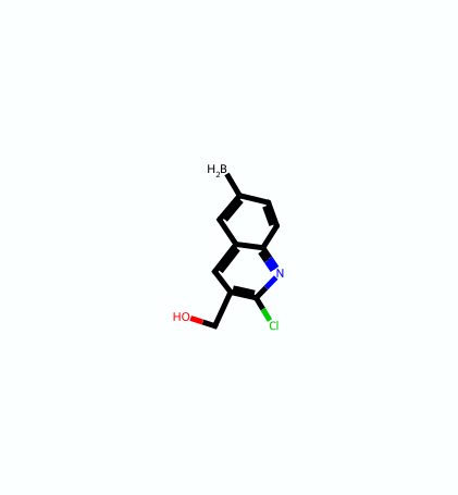 Bc1ccc2nc(Cl)c(CO)cc2c1